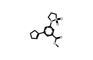 COC(=O)c1cc(C2=CCCC2)cc(N2CCCS2(=O)=O)c1